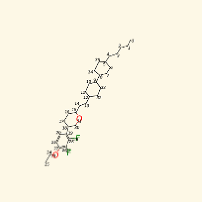 CCCCCC1CCC(C2CCC(CCC3CCC(c4ccc(OCC)c(F)c4F)CO3)CC2)CC1